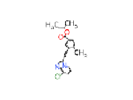 CCC(C)OC(=O)c1ccc(C)c(C#Cc2cnc3c(Cl)cccn23)c1